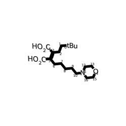 CC(C)(C)CCC(C(=O)O)=C(CCCCCN1CCOCC1)C(=O)O